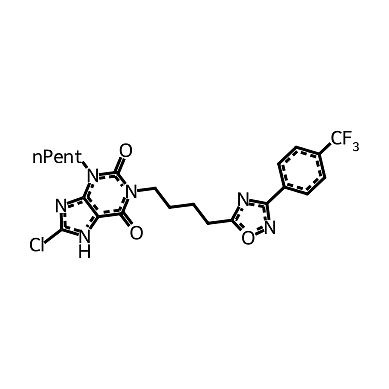 CCCCCn1c(=O)n(CCCCc2nc(-c3ccc(C(F)(F)F)cc3)no2)c(=O)c2[nH]c(Cl)nc21